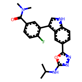 CC(C)Nc1nnc(-c2ccc3[nH]cc(-c4cc(C(=O)N(C)C)ccc4F)c3c2)o1